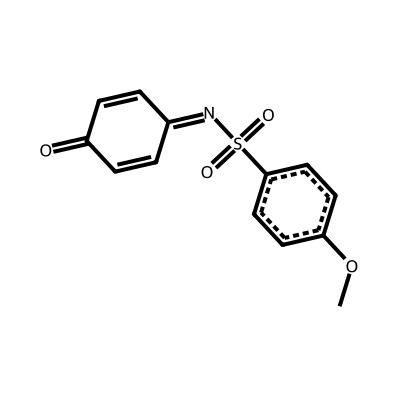 COc1ccc(S(=O)(=O)N=C2C=CC(=O)C=C2)cc1